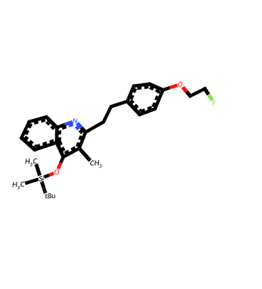 Cc1c(CCc2ccc(OCCF)cc2)nc2ccccc2c1O[Si](C)(C)C(C)(C)C